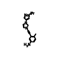 Cc1ccc(N)cc1C#CN1C=CN(c2cnn(C(C)C)c2)C1